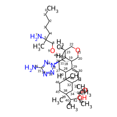 CCCCCC(C)(N)CO[C@H]1[C@H](n2nnc(N)n2)C[C@@]23COC[C@]1(C)[C@@H]2CC[C@H]1C3=CC[C@@]2(C)[C@H](C(=O)O)[C@@](C)([C@H](C)C(C)C)CC[C@]12C